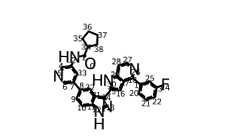 O=C(Nc1cncc(-c2ccc3[nH]nc(-c4cc5c(-c6cccc(F)c6)nccc5[nH]4)c3c2)c1)C1CCCC1